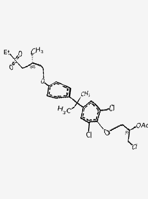 CCS(=O)(=O)C[C@H](C)COc1ccc(C(C)(C)c2cc(Cl)c(OC[C@H](CCl)OC(C)=O)c(Cl)c2)cc1